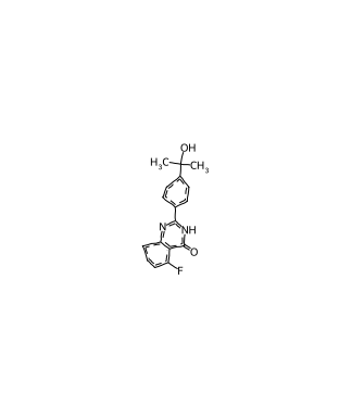 CC(C)(O)c1ccc(-c2nc3cccc(F)c3c(=O)[nH]2)cc1